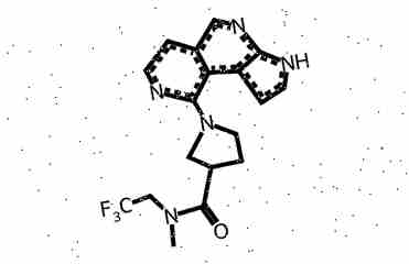 CN(CC(F)(F)F)C(=O)C1CCN(c2nccc3cnc4[nH]ccc4c23)C1